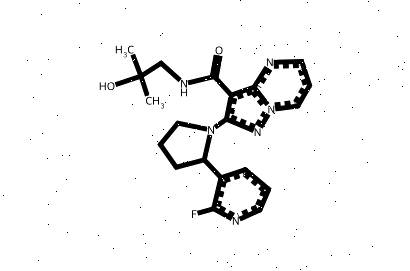 CC(C)(O)CNC(=O)c1c(N2CCCC2c2cccnc2F)nn2cccnc12